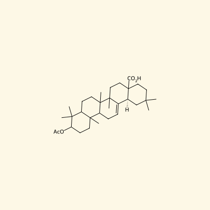 CC(=O)OC1CCC2(C)C(CCC3(C)C2CC=C2[C@@H]4CC(C)(C)CCC4(C(=O)O)CCC23C)C1(C)C